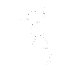 COC(=O)C(Cc1ccc(OC(F)(F)F)cc1)N=[N+]=[N-]